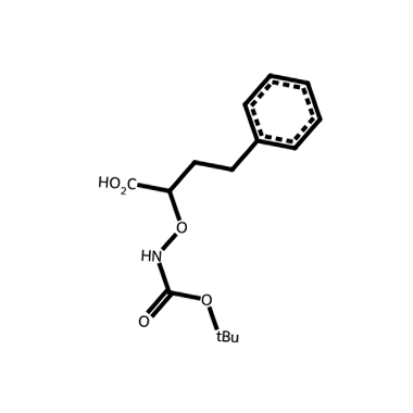 CC(C)(C)OC(=O)NOC(CCc1ccccc1)C(=O)O